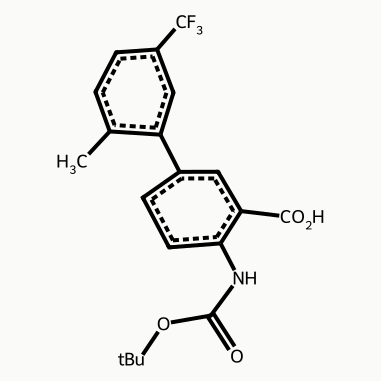 Cc1ccc(C(F)(F)F)cc1-c1ccc(NC(=O)OC(C)(C)C)c(C(=O)O)c1